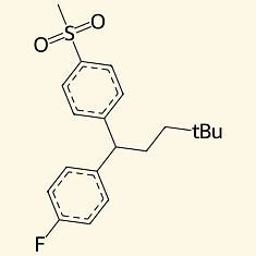 CC(C)(C)CCC(c1ccc(F)cc1)c1ccc(S(C)(=O)=O)cc1